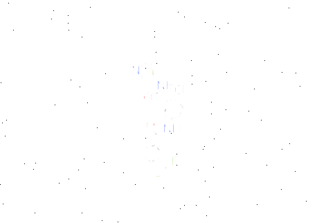 O=C(Nc1ccc(Cl)c(C(=O)Nc2cnc(C3CC3)s2)c1)c1cccc(C(F)(F)F)c1